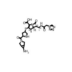 C[C@@H](NC(=O)Cn1cnnn1)[C@H]1C(=O)N2C(C(=O)O)=C(SC3CNC(C(=O)N4CC5C(N)C5C4)C3)[C@H](C)[C@H]12